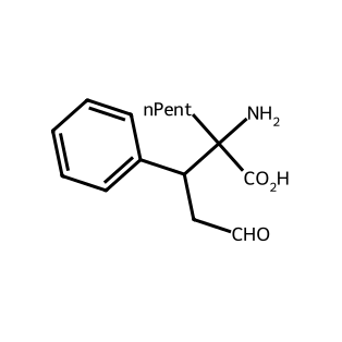 CCCCCC(N)(C(=O)O)C(CC=O)c1ccccc1